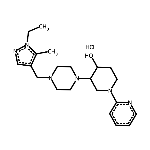 CCn1ncc(CN2CCN(C3CN(c4ccccn4)CCC3O)CC2)c1C.Cl